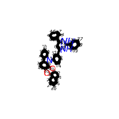 C1=C(c2cccc(-n3c4ccccc4c4ccc5c(c43)Oc3ccc4ccccc4c3O5)c2)NC(c2ccccc2)NC1c1ccccc1